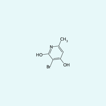 Cc1cc(O)c(Br)c(O)n1